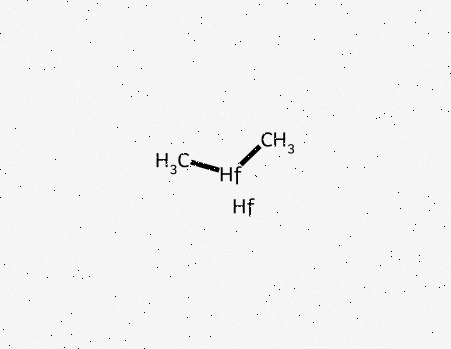 [CH3][Hf][CH3].[Hf]